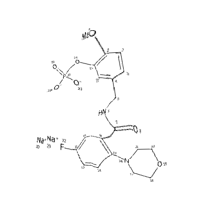 COc1ccc(CNC(=O)c2cc(F)ccc2N2CCOCC2)cc1OP(=O)([O-])[O-].[Na+].[Na+]